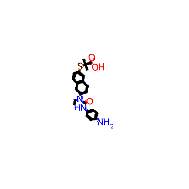 CCN(C(=O)Nc1ccc(N)cc1)C1CCc2cc(SC(C)(C)C(=O)O)ccc2C1